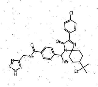 CCCC(c1ccc(C(=O)NCc2nn[nH]n2)cc1)N1C(=O)C(c2ccc(Cl)cc2)=NC12CCC(C(C)(C)CC)CC2